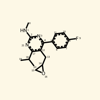 CNc1nc(-c2ccc(F)cc2)c(CC2CO2)c(C(C)C)n1